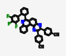 N#Cc1ccc(-c2nc3ccc4c(-c5ccccc5-c5cc(F)c(F)c(F)c5)nc5ccccc5c4c3nc2-c2ccc(C#N)cc2)cc1